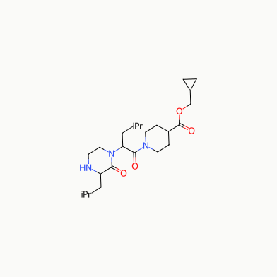 CC(C)CC1NCCN(C(CC(C)C)C(=O)N2CCC(C(=O)OCC3CC3)CC2)C1=O